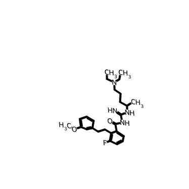 CCN(CC)CCCC(C)NC(=N)NC(=O)c1cccc(F)c1CCc1cccc(OC)c1